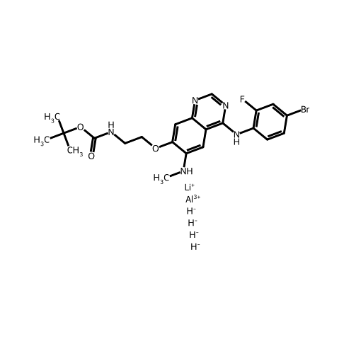 CNc1cc2c(Nc3ccc(Br)cc3F)ncnc2cc1OCCNC(=O)OC(C)(C)C.[Al+3].[H-].[H-].[H-].[H-].[Li+]